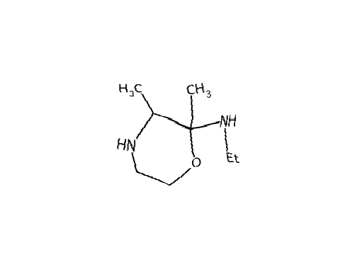 CCNC1(C)OCCNC1C